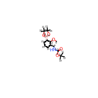 COc1c(CNC(=O)OC(C)(C)C)cccc1B1OC(C)(C)C(C)(C)O1